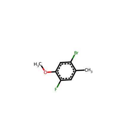 COc1cc(Br)c(C)cc1F